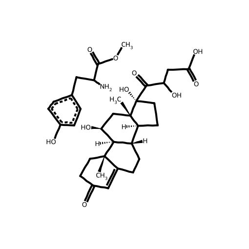 COC(=O)C(N)Cc1ccc(O)cc1.C[C@]12CCC(=O)C=C1CC[C@@H]1[C@@H]2[C@@H](O)C[C@@]2(C)[C@H]1CC[C@]2(O)C(=O)C(O)CC(=O)O